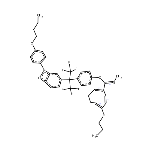 CCCCOc1ccc(-n2oc3ccc(C(c4ccc(OC(=N\C)/C5=C/CC/C=C(OCCC)/C=C\5)cc4)(C(F)(F)F)C(F)(F)F)cc32)cc1